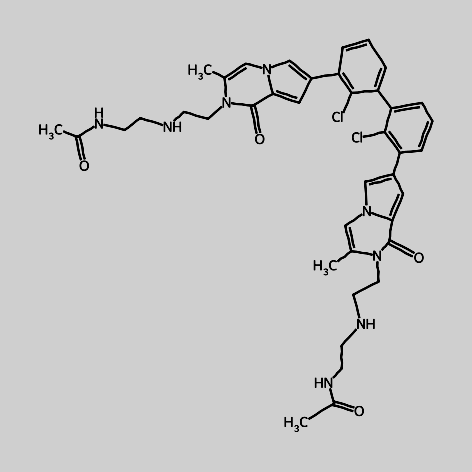 CC(=O)NCCNCCn1c(C)cn2cc(-c3cccc(-c4cccc(-c5cc6c(=O)n(CCNCCNC(C)=O)c(C)cn6c5)c4Cl)c3Cl)cc2c1=O